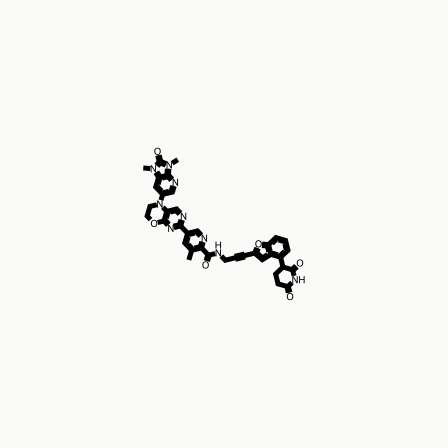 Cc1cc(-c2ncc3c(n2)OCCN3c2cnc3c(c2)n(C)c(=O)n3C)cnc1C(=O)NCC#Cc1cc2c(C3CCC(=O)NC3=O)cccc2o1